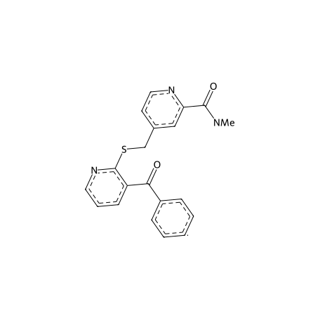 CNC(=O)c1cc(CSc2ncccc2C(=O)c2cc[c]cc2)ccn1